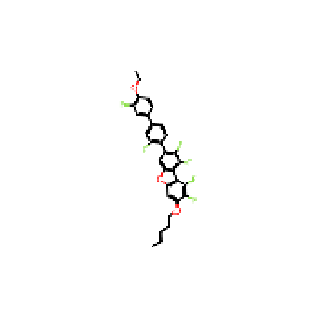 CCCCCOc1cc2oc3cc(-c4ccc(-c5ccc(OCC)c(F)c5)cc4F)c(F)c(F)c3c2c(F)c1F